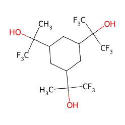 CC(O)(C1CC(C(C)(O)C(F)(F)F)CC(C(O)(C(F)(F)F)C(F)(F)F)C1)C(F)(F)F